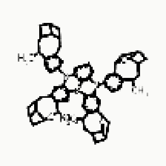 CC1CC2CC3CC(CC23)c2cc(N3c4cc5c(cc4B4c6cc7c(cc6N(c6ccc8c(c6)C6CC9CC(CC8C)C9C6)c6cccc3c64)C3CC4CC(CC7C)C4C3)C(C)CC3CC4CC5CC34)ccc21